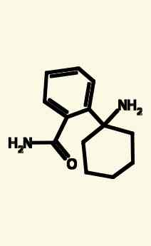 NC(=O)c1ccccc1C1(N)CCCCC1